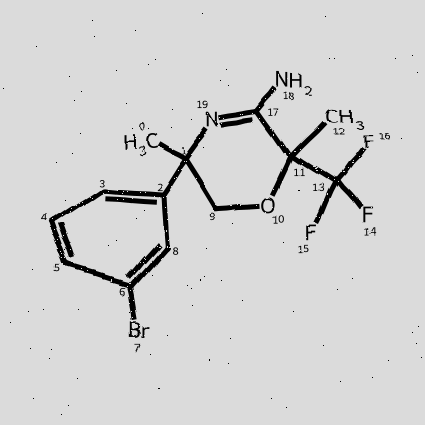 CC1(c2cccc(Br)c2)COC(C)(C(F)(F)F)C(N)=N1